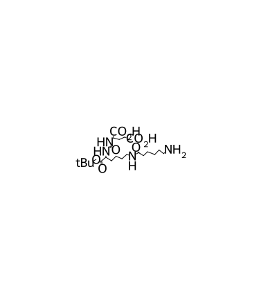 CC(C)(C)OC(=O)C(CCCCNC(=O)CCCCCN)NC(=O)NC(CCC(=O)O)C(=O)O